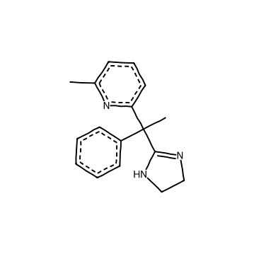 Cc1cccc(C(C)(C2=NCCN2)c2ccccc2)n1